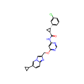 O=C(Nc1cc(OCc2cn3cc(C4CC4)ccc3n2)ncn1)[C@H]1C[C@@H]1c1cccc(Cl)c1